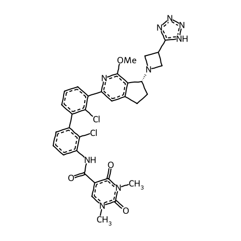 COc1nc(-c2cccc(-c3cccc(NC(=O)c4cn(C)c(=O)n(C)c4=O)c3Cl)c2Cl)cc2c1[C@H](N1CC(c3nnn[nH]3)C1)CC2